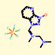 CN(C)C[N+](C)=Cn1n[n+]([O-])c2ncccc21.F[P-](F)(F)(F)(F)F